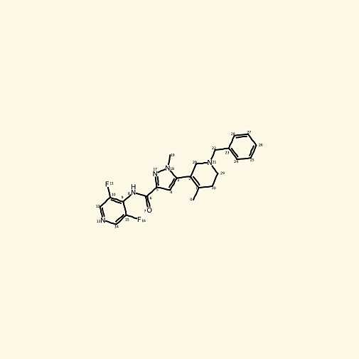 CC1=C(c2cc(C(=O)Nc3c(F)cncc3F)nn2C)CN(Cc2ccccc2)CC1